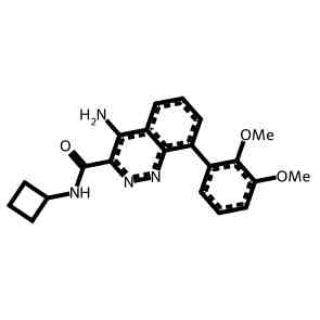 COc1cccc(-c2cccc3c(N)c(C(=O)NC4CCC4)nnc23)c1OC